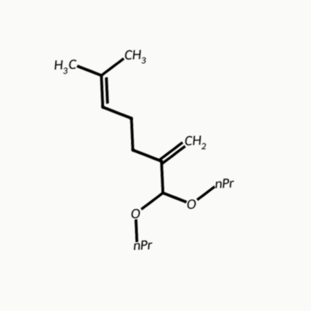 C=C(CCC=C(C)C)C(OCCC)OCCC